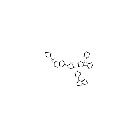 c1ccc(-c2nc3c(ccc4cc(-c5ccc(N(c6ccc(-c7cccc8ccccc78)cc6)c6ccc7c(c6)c6ccccc6n7-c6ccccc6)cc5)ccc43)o2)cc1